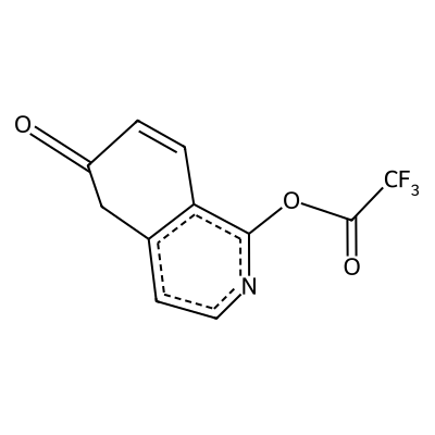 O=C1C=Cc2c(ccnc2OC(=O)C(F)(F)F)C1